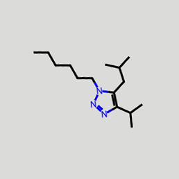 CCCCCCn1nnc(C(C)C)c1CC(C)C